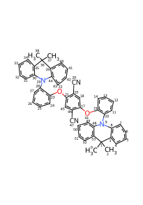 CC1(C)c2ccccc2N(c2ccccc2Oc2cc(C#N)c(Oc3ccccc3N3c4ccccc4C(C)(C)c4ccccc43)cc2C#N)c2ccccc21